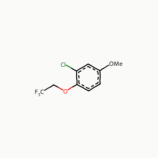 COc1ccc(OCC(F)(F)F)c(Cl)c1